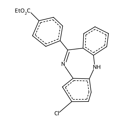 CCOC(=O)c1ccc(C2=Nc3cc(Cl)ccc3Nc3ccccc32)cc1